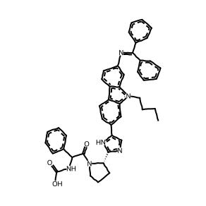 CCCCn1c2cc(N=C(c3ccccc3)c3ccccc3)ccc2c2ccc(-c3cnc([C@@H]4CCCN4C(=O)C(NC(=O)O)c4ccccc4)[nH]3)cc21